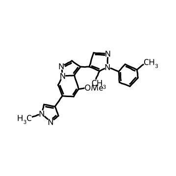 COc1cc(-c2cnn(C)c2)cn2ncc(-c3cnn(-c4cccc(C)c4)c3C)c12